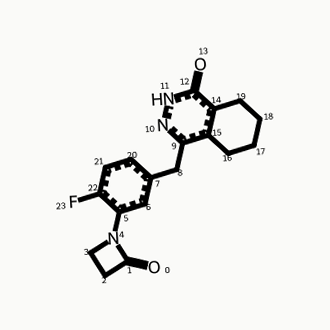 O=C1CCN1c1cc(Cc2n[nH]c(=O)c3c2CCCC3)ccc1F